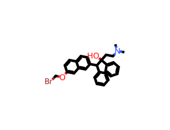 CN(C)CCC(O)(c1ccccc1)C(c1ccccc1)c1ccc2ccc(OCBr)cc2c1